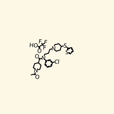 CC(=O)N1CCC(C(=O)N(CCCN2CCC(Sc3cccs3)CC2)c2cccc(Cl)c2)CC1.O=C(O)C(F)(F)F